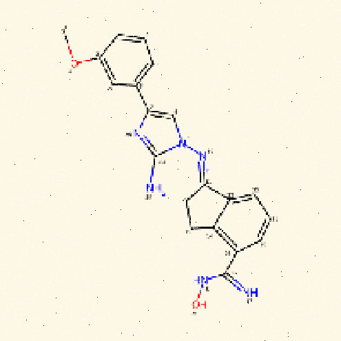 COc1cccc(-c2cn(/N=C3\CCc4c(C(=N)NO)cccc43)c(N)n2)c1